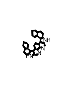 c1ccc2c(c1)ccc1[nH]c3cnc4c(ccc5c4ncc4[nH]c6ccc7ccccc7c6c45)c3c12